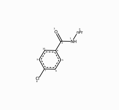 CCCNC(=O)c1ccc(Cl)cc1